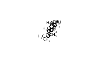 C=C(C)[C@@H]1CC[C@@](C)([C@H]2CC[C@]3(C)[C@@H]2CC[C@@H]2[C@@]4(C)CC[C@H](O)C(C)(C)[C@@H]4CC[C@]23C)O1